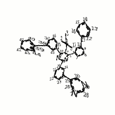 CC(C)(C)c1c(-c2cccc(-c3ccccc3)c2)nc(-c2cccc(-c3cncnc3)c2)nc1-c1cccc(-c2ccccc2)c1